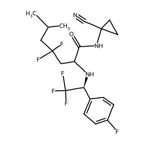 CC(C)CC(F)(F)CC(N[C@@H](c1ccc(F)cc1)C(F)(F)F)C(=O)NC1(C#N)CC1